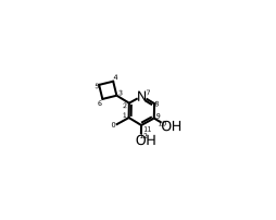 Cc1c(C2CCC2)n[c]c(O)c1O